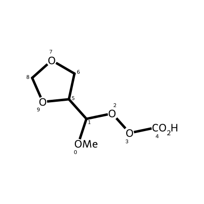 COC(OOC(=O)O)C1COCO1